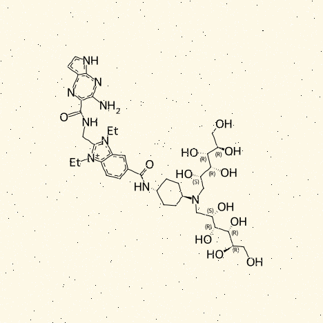 CCn1c(CNC(=O)c2nc3cc[nH]c3nc2N)[n+](CC)c2ccc(C(=O)N[C@H]3CC[C@H](N(C[C@H](O)[C@@H](O)[C@H](O)[C@H](O)CO)C[C@H](O)[C@@H](O)[C@H](O)[C@H](O)CO)CC3)cc21